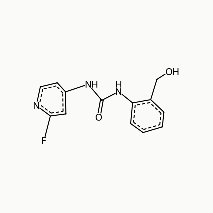 O=C(Nc1ccnc(F)c1)Nc1ccccc1CO